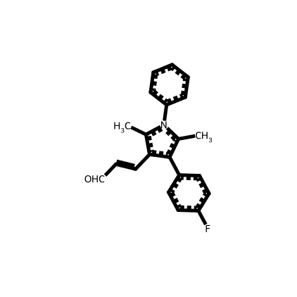 Cc1c(/C=C/C=O)c(-c2ccc(F)cc2)c(C)n1-c1ccccc1